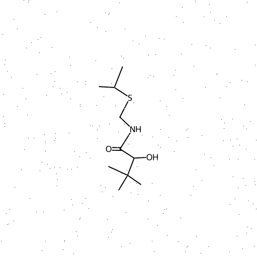 CC(C)SCNC(=O)C(O)C(C)(C)C